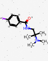 CN(C)C(C)(C)CNC(=O)c1ccc(I)cc1